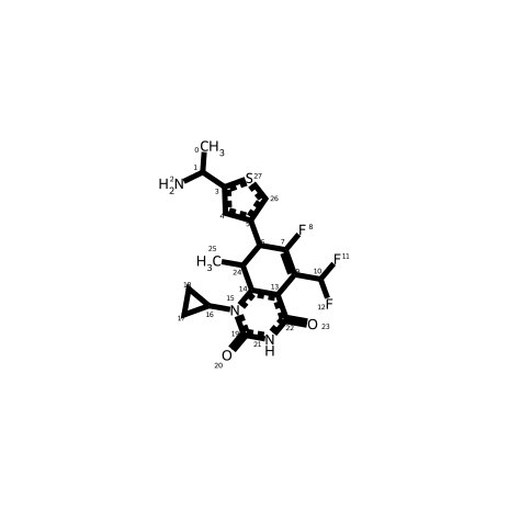 CC(N)c1cc(C2C(F)=C(C(F)F)c3c(n(C4CC4)c(=O)[nH]c3=O)C2C)cs1